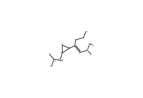 CCC/C(=C\N(C)N)C1CC1NC(C)C